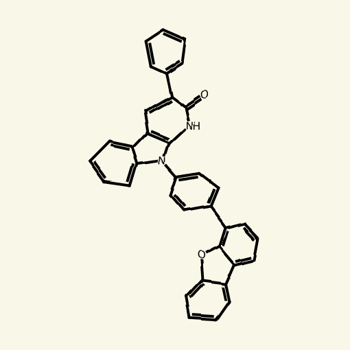 O=c1[nH]c2c(cc1-c1ccccc1)c1ccccc1n2-c1ccc(-c2cccc3c2oc2ccccc23)cc1